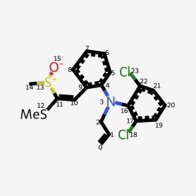 C=CCN(c1ccccc1C=C(SC)[S+](C)[O-])c1c(Cl)cccc1Cl